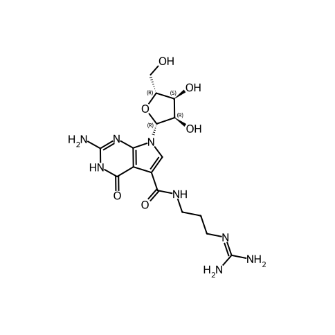 NC(N)=NCCCNC(=O)c1cn([C@@H]2O[C@H](CO)[C@@H](O)[C@H]2O)c2nc(N)[nH]c(=O)c12